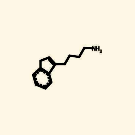 NCCCCC1=CCc2ccccc21